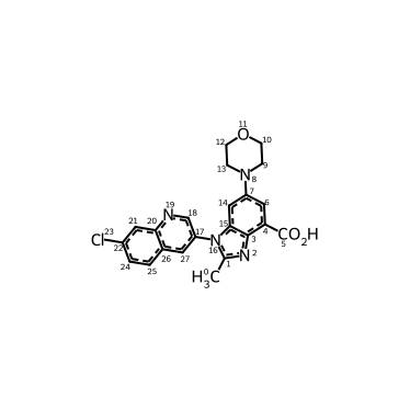 Cc1nc2c(C(=O)O)cc(N3CCOCC3)cc2n1-c1cnc2cc(Cl)ccc2c1